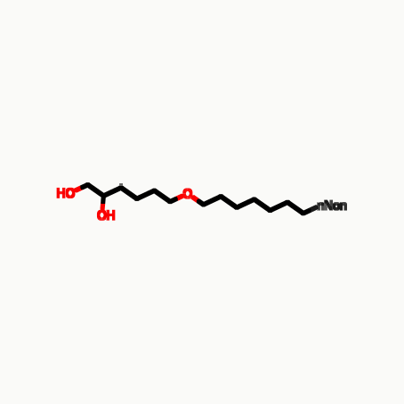 CCCCCCCCCCCCCCCCOCCC[CH]C(O)CO